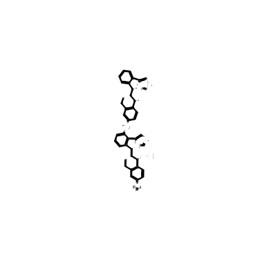 CS(=O)(=O)c1ccc2c(c1)CC[C@@H]([C@@H]1c3cccc(S(=O)(=O)c4ccc5c(c4)CC[C@H]([C@H]4c6ccccc6-c6cncn64)[C@H]5O)c3-c3cncn31)[C@H]2O